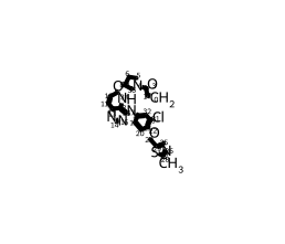 C=CC(=O)N1CC[C@H](Oc2ccc3ncnc(Nc4ccc(OCc5cnc(C)s5)c(Cl)c4)c3n2)C1